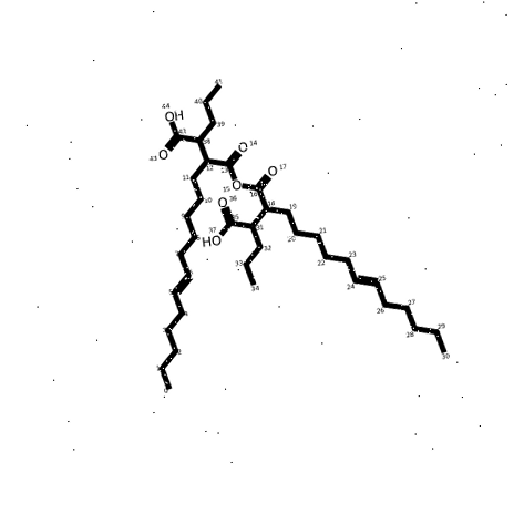 CCCCC/C=C/CCCCCC(C(=O)OC(=O)C(CCCCC/C=C/CCCCC)C(CCC)C(=O)O)C(CCC)C(=O)O